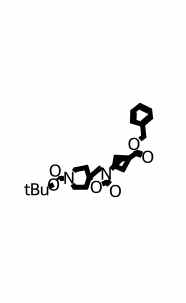 CC(C)(C)OC(=O)N1CCC2(CC1)CN(C13CC(C(=O)OCc4ccccc4)(C1)C3)C(=O)O2